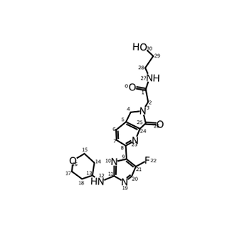 O=C(CN1Cc2ccc(-c3nc(NC4CCOCC4)ncc3F)nc2C1=O)NCCO